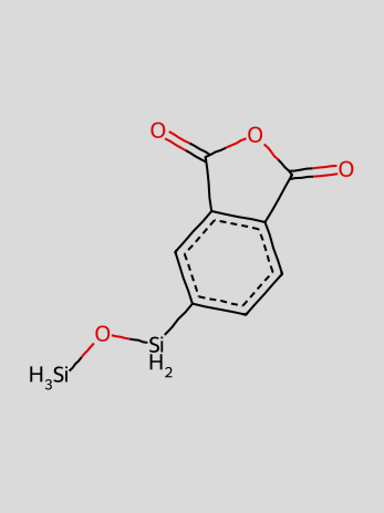 O=C1OC(=O)c2cc([SiH2]O[SiH3])ccc21